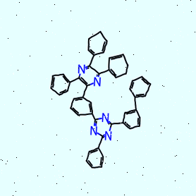 C1=CC(c2nc(-c3ccccc3)c(-c3cccc(-c4nc(-c5ccccc5)nc(-c5cccc(-c6ccccc6)c5)n4)c3)nc2C2=CCCC=C2)=CCC1